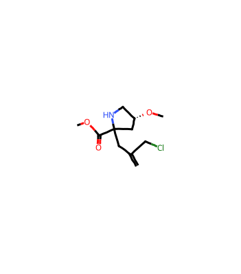 C=C(CCl)CC1(C(=O)OC)C[C@@H](OC)CN1